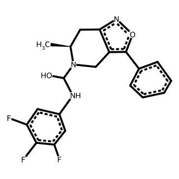 C[C@H]1Cc2noc(-c3ccccc3)c2CN1C(O)Nc1cc(F)c(F)c(F)c1